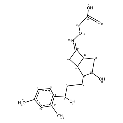 Cc1ccc(C(O)CCC2C(O)CC3C(=NOCC(=O)O)CC32)c(C)c1